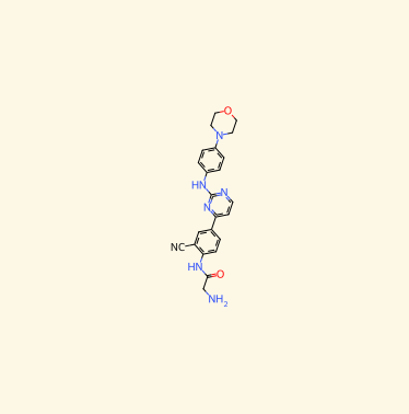 N#Cc1cc(-c2ccnc(Nc3ccc(N4CCOCC4)cc3)n2)ccc1NC(=O)CN